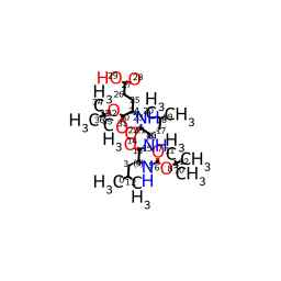 CC(C)C[C@H](NC(=O)OC(C)(C)C)C(=O)N[C@@H](CC(C)C)C(=O)NC(CCC(=O)O)C(=O)OC(C)(C)C